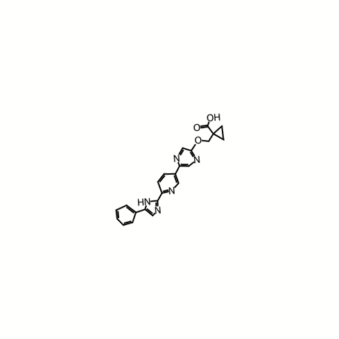 O=C(O)C1(COc2cnc(-c3ccc(-c4ncc(-c5ccccc5)[nH]4)nc3)cn2)CC1